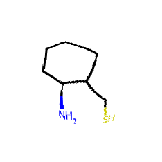 N[C@H]1CCCCC1CS